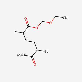 CCC(CCC(C)C(=O)OCOCC#N)C(=O)OC